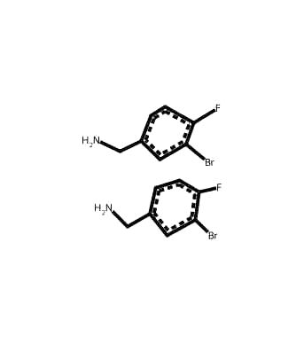 NCc1ccc(F)c(Br)c1.NCc1ccc(F)c(Br)c1